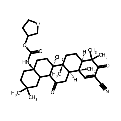 CC1(C)CC[C@]2(NC(=O)OC3CCOC3)CC[C@]3(C)C(C(=O)C[C@@H]4[C@@]5(C)C=C(C#N)C(=O)C(C)(C)[C@@H]5CC[C@]43C)C2C1